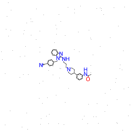 CC(=O)Nc1cccc(C2CCN(CCCNc3nc4ccccc4n3Cc3ccc(C#N)cc3)CC2)c1